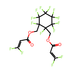 O=C(C=C(F)F)OCC1(F)C(F)(F)C(F)(F)C(F)(F)C(F)(F)C1(F)COC(=O)C=C(F)F